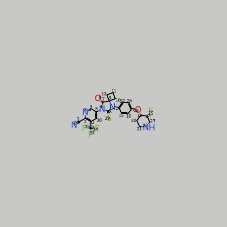 N#Cc1ncc(N2C(=O)C3(CCC3)N(c3ccc(O[C@H]4CCNC[C@H]4F)cc3)C2=S)cc1C(F)(F)F